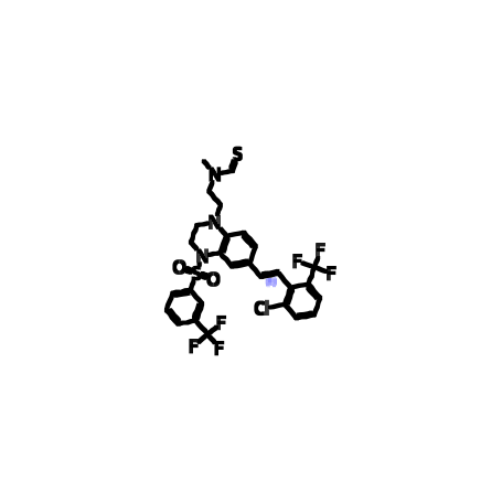 CN(C=S)CCN1CCN(S(=O)(=O)c2cccc(C(F)(F)F)c2)c2cc(/C=C/c3c(Cl)cccc3C(F)(F)F)ccc21